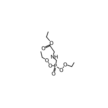 CCOOP(=O)(CNCC(=O)OCC)OOCC